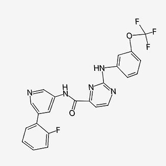 O=C(Nc1cncc(-c2ccccc2F)c1)c1ccnc(Nc2cccc(OC(F)(F)F)c2)n1